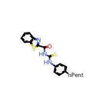 CCCCCc1ccc(NC(=S)NC(=O)c2nc3ccccc3s2)cc1